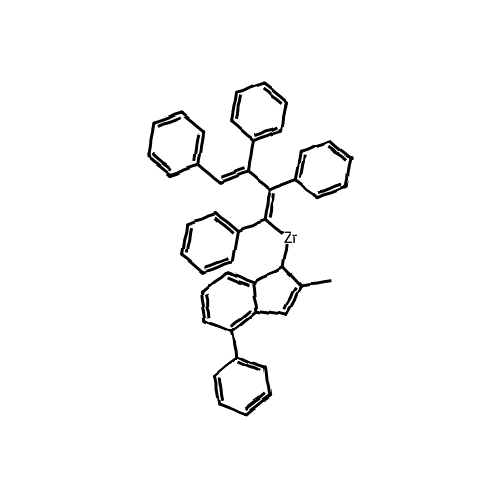 CC1=Cc2c(-c3ccccc3)cccc2[CH]1[Zr][C](=C(C(=Cc1ccccc1)c1ccccc1)c1ccccc1)c1ccccc1